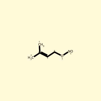 CC(C)=CCON=O